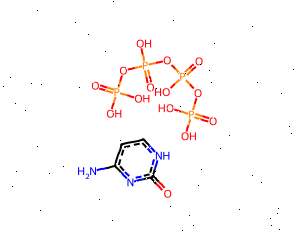 Nc1cc[nH]c(=O)n1.O=P(O)(O)OP(=O)(O)OP(=O)(O)OP(=O)(O)O